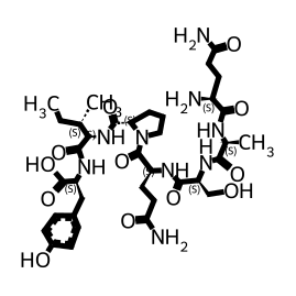 CC[C@H](C)[C@H](NC(=O)[C@@H]1CCCN1C(=O)[C@H](CCC(N)=O)NC(=O)[C@H](CO)NC(=O)[C@H](C)NC(=O)[C@@H](N)CCC(N)=O)C(=O)N[C@@H](Cc1ccc(O)cc1)C(=O)O